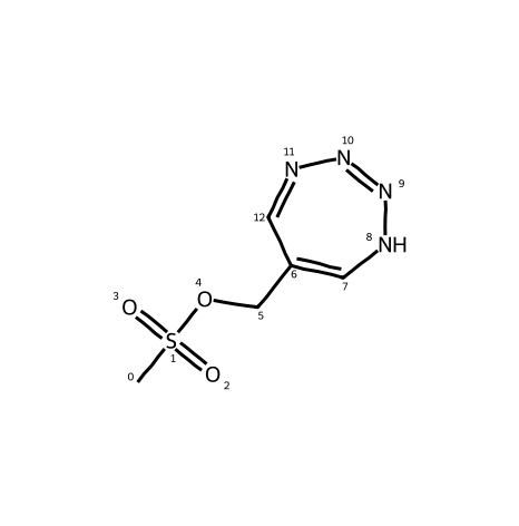 CS(=O)(=O)OCC1=CNN=NN=C1